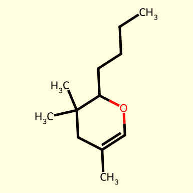 CCCCC1OC=C(C)CC1(C)C